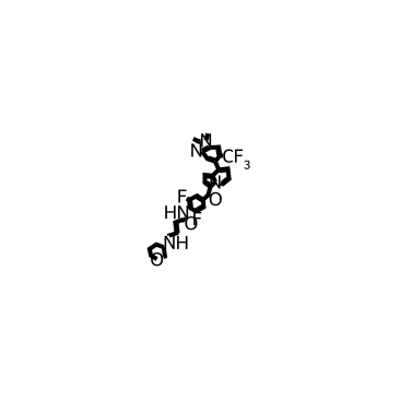 Cc1nc2cc(-c3cccn4c(C(=O)c5cc(F)c(NC(=O)/C=C/CNC6CCCOC6)c(F)c5)ccc34)c(C(F)(F)F)cc2n1C